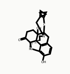 O=C1CCC2(O)C3Cc4ccc(O)c5c4[C@]2(CC[N+]3(CC2CC2)CC2CC2)[C@@H]1O5